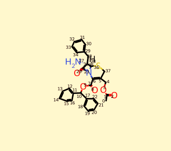 CC(=O)OCC1=C(C(=O)OC(c2ccccc2)c2ccccc2)N2C(=O)[C@@](N)(Cc3ccccc3)[C@H]2SC1